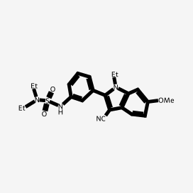 CCN(CC)S(=O)(=O)Nc1cccc(-c2c(C#N)c3ccc(OC)cc3n2CC)c1